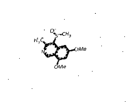 COc1cc(OC)c2cnc(C)c([S+](C)[O-])c2c1